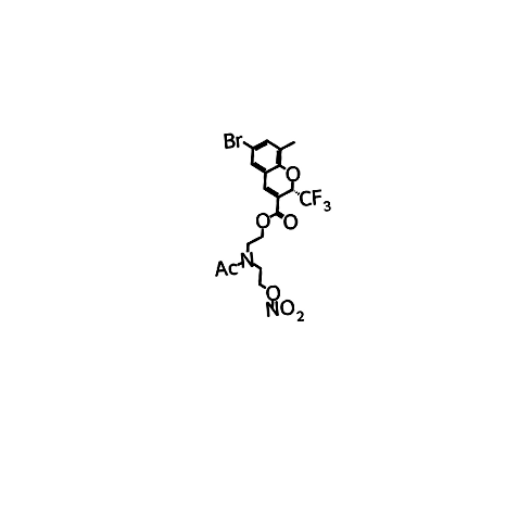 CC(=O)N(CCOC(=O)C1=Cc2cc(Br)cc(C)c2O[C@@H]1C(F)(F)F)CCO[N+](=O)[O-]